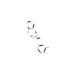 O=C(Nc1ccc(F)c(F)c1)N1C2CCC1c1cncnc1C2